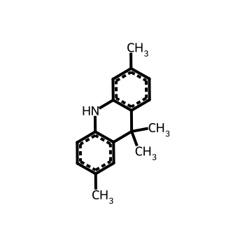 Cc1ccc2c(c1)Nc1ccc(C)cc1C2(C)C